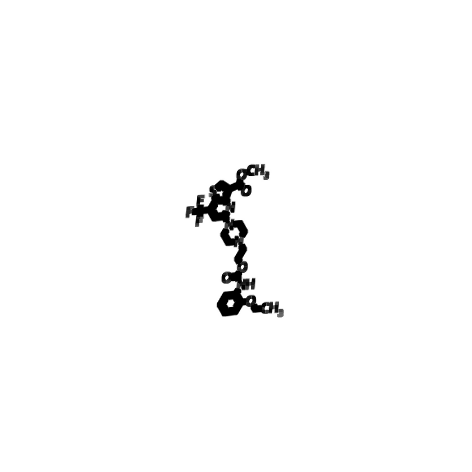 CCOc1ccccc1NC(=O)OCCN1CCN(c2cc(C(F)(F)F)c3scc(C(=O)OC)c3n2)CC1